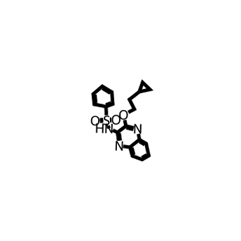 O=S(=O)(Nc1nc2ccccc2nc1OCCC1CC1)c1ccccc1